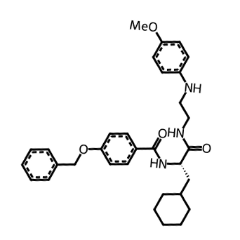 COc1ccc(NCCNC(=O)[C@H](CC2CCCCC2)NC(=O)c2ccc(OCc3ccccc3)cc2)cc1